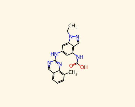 CCn1ncc2c(NC(=O)O)cc(Nc3ncc4cccc(C)c4n3)cc21